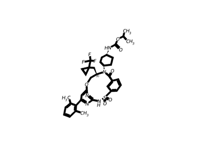 Cc1cccc(C)c1-c1cc2nc(n1)NS(=O)(=O)c1cccc(c1)C(=O)N([C@H]1CC[C@@H](NC(=O)OC(C)C)CC1)[C@H](CC1(C(F)(F)F)CC1)CO2